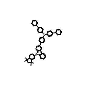 CC1(C)CC(C)(C)c2cc(-n3c4ccccc4c4cc(-c5ccc(N(c6ccc(-c7ccccc7)cc6)c6ccc(-c7ccccc7)cc6)cc5)ccc43)ccc21